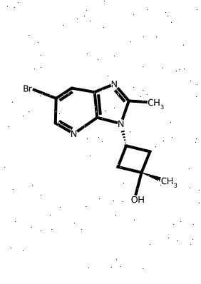 Cc1nc2cc(Br)cnc2n1[C@H]1C[C@@](C)(O)C1